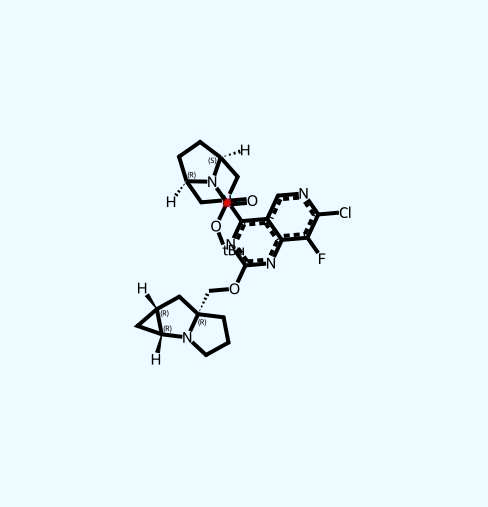 CC(C)(C)OC(=O)N1[C@@H]2CC[C@H]1CN(c1nc(OC[C@]34CCCN3[C@@H]3C[C@@H]3C4)nc3c(F)c(Cl)ncc13)C2